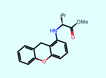 COC(=O)[C@@H](Nc1cccc2c1Cc1ccccc1O2)C(C)C